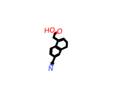 N#Cc1ccc2c(c1)CCC=C2CC(=O)O